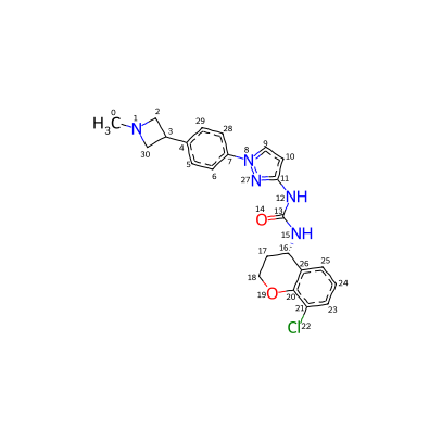 CN1CC(c2ccc(-n3ccc(NC(=O)N[C@H]4CCOc5c(Cl)cccc54)n3)cc2)C1